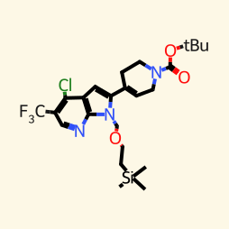 CC(C)(C)OC(=O)N1CC=C(c2cc3c(Cl)c(C(F)(F)F)cnc3n2COCC[Si](C)(C)C)CC1